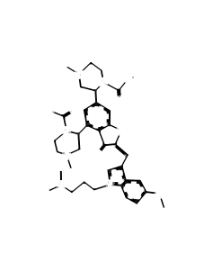 COc1ccc2c(c1)c(C=C1Oc3cc(C4CN(C)CCN4C(=O)O)cc(C4CN(C)CCN4C(=O)O)c3C1=O)cn2CCCN(C)C